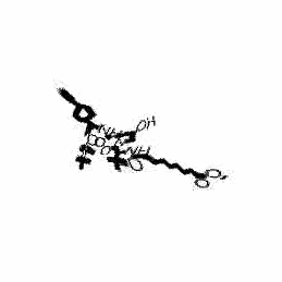 C#Cc1ccc(C(CO[Si](C)(C)C(C)(C)C)NC(=O)[C@@H]2C[C@@H](O)CN2C(=O)C(NC(=O)CCCCCCCC(=O)OC)C(C)(C)C)cc1